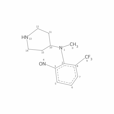 CN(c1c(N=O)cccc1C(F)(F)F)C1CCNCC1